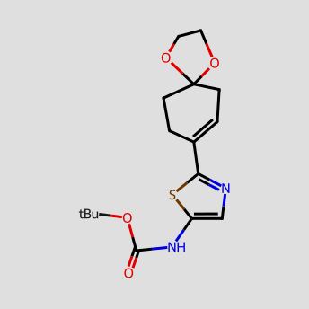 CC(C)(C)OC(=O)Nc1cnc(C2=CCC3(CC2)OCCO3)s1